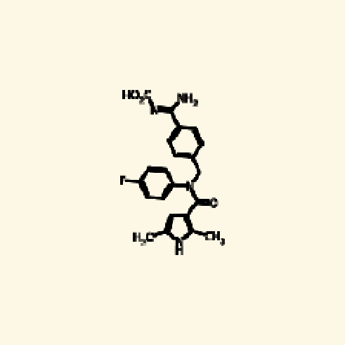 Cc1cc(C(=O)N(Cc2ccc(C(N)=NC(=O)O)cc2)c2ccc(F)cc2)c(C)[nH]1